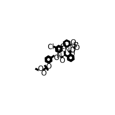 CCOC(=O)C(C)(C)Oc1cccc(CONC(=O)[C@@H]2c3ccccc3C(=O)N([C@H]3CCCC[C@@H]3NS(C)(=O)=O)[C@H]2c2ccc(Cl)cc2Cl)c1